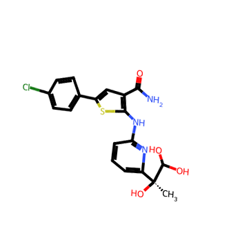 C[C@](O)(c1cccc(Nc2sc(-c3ccc(Cl)cc3)cc2C(N)=O)n1)C(O)O